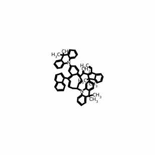 C=CC1=C(C(=C)C2=c3\ccc(N4c5ccccc5C(C)(C)c5ccccc54)c\c3=C(c3cccc4ccccc34)\C=C\CC(N3c4ccccc4C(C)(C)c4ccccc43)\C=C\2)C(C)(C)c2ccccc21